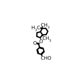 CC1(C)CCC[C@@]2(C)C1CC[C@@H]2OC(=O)c1ccc(C=O)cc1